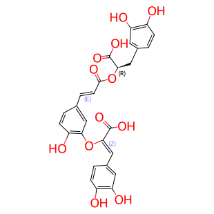 O=C(/C=C/c1ccc(O)c(O/C(=C\c2ccc(O)c(O)c2)C(=O)O)c1)O[C@H](Cc1ccc(O)c(O)c1)C(=O)O